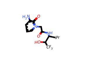 CC(C)C(NC(=O)Cn1cccc(N)c1=O)C(O)C(F)(F)F